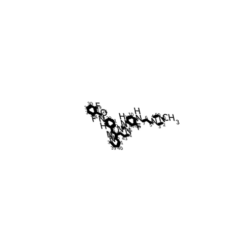 CN1CCN(CCCNc2ccc(NC3=NC(c4c(-c5cccc(NC(=O)c6c(F)cccc6F)c5)nn5ccccc45)CC=N3)cc2F)CC1